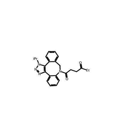 CCC(=O)CCC(=O)N1Cc2ccccc2-c2c(nnn2C(C)C)-c2ccccc21